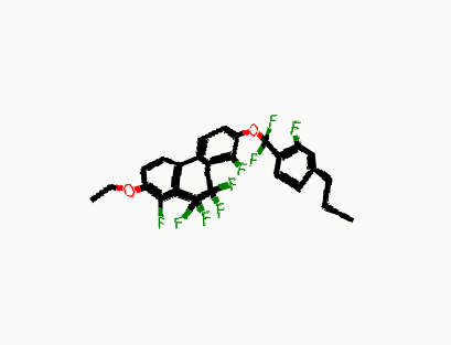 CCCc1ccc(C(F)(F)Oc2ccc3c(c2F)C(F)(F)C(F)(F)c2c-3ccc(OCC)c2F)c(F)c1